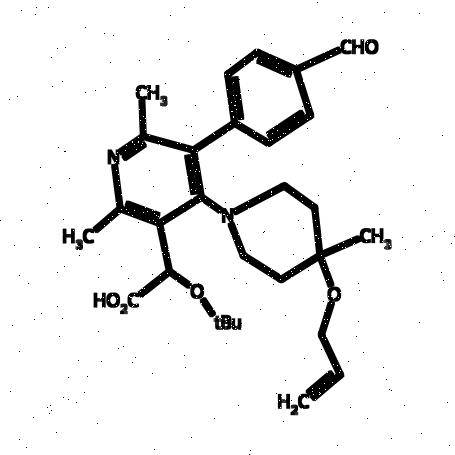 C=CCOC1(C)CCN(c2c(-c3ccc(C=O)cc3)c(C)nc(C)c2C(OC(C)(C)C)C(=O)O)CC1